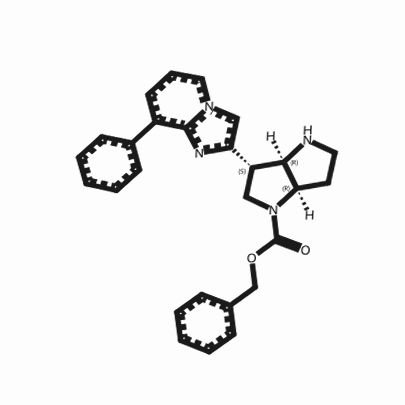 O=C(OCc1ccccc1)N1C[C@H](c2cn3cccc(-c4ccccc4)c3n2)[C@H]2NCC[C@H]21